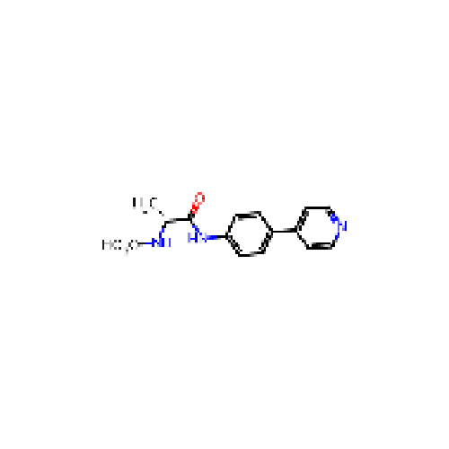 C[C@@H](NC(=O)O)C(=O)Nc1ccc(-c2ccncc2)cc1